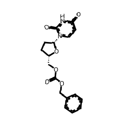 O=C(OCc1ccccc1)OC[C@@H]1CC[C@H](n2ccc(=O)[nH]c2=O)O1